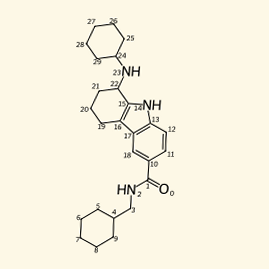 O=C(NCC1CCCCC1)c1ccc2[nH]c3c(c2c1)CCCC3NC1CCCCC1